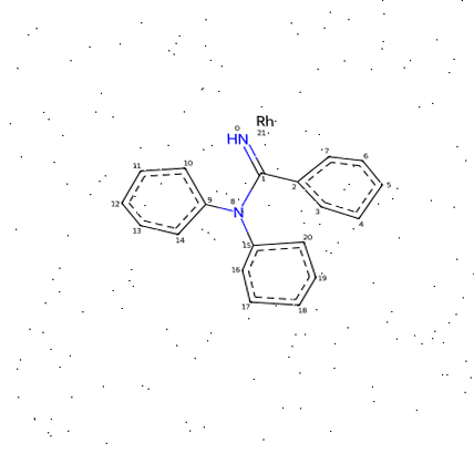 N=C(c1ccccc1)N(c1ccccc1)c1ccccc1.[Rh]